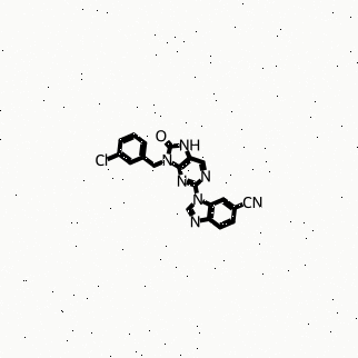 N#Cc1ccc2ncn(-c3ncc4[nH]c(=O)n(Cc5cccc(Cl)c5)c4n3)c2c1